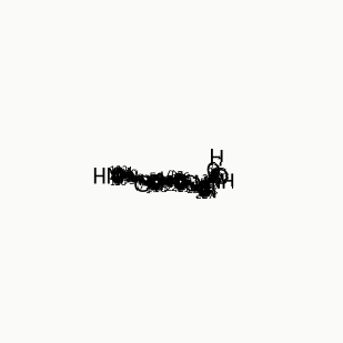 CC(C)(c1ccc(OCCCN2CCNCC2)cc1)c1ccc(OCc2ccnc(CN[SH](=O)=O)n2)cc1